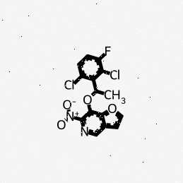 CC(Oc1c([N+](=O)[O-])ncc2ccoc12)c1c(Cl)ccc(F)c1Cl